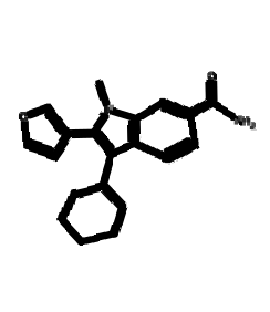 Cn1c(-c2ccoc2)c(C2CCCCC2)c2ccc(C(N)=O)cc21